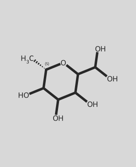 C[C@@H]1OC(C(O)O)C(O)C(O)C1O